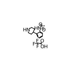 CS(=O)(=O)Nc1ccccc1C1CCNCC1.O=C(O)C(F)(F)F